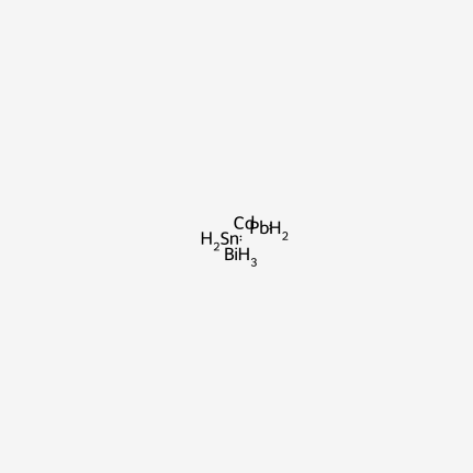 [BiH3].[Cd].[PbH2].[SnH2]